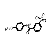 COc1ccc(NC(=O)c2cccc(S(=O)(=O)Cl)c2)cc1